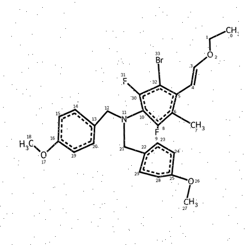 CCO/C=C/c1c(C)c(F)c(N(Cc2ccc(OC)cc2)Cc2ccc(OC)cc2)c(F)c1Br